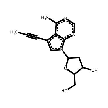 CC#Cc1cn(C2CC(O)C(CO)O2)c2ncnc(N)c12